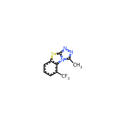 Cc1nnc2sc3cccc(C(F)(F)F)c3n12